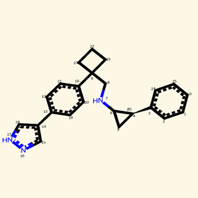 c1ccc([C@H]2CC2NCC2(c3ccc(-c4cn[nH]c4)cc3)CCC2)cc1